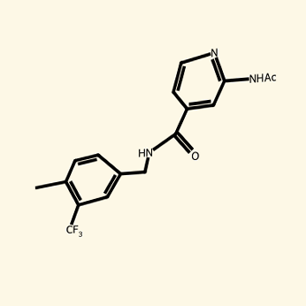 CC(=O)Nc1cc(C(=O)NCc2ccc(C)c(C(F)(F)F)c2)ccn1